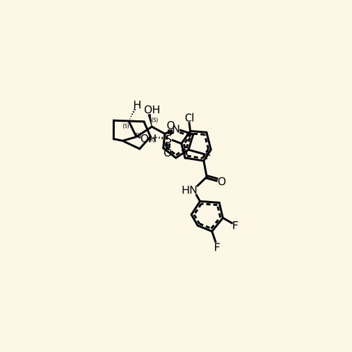 O=C(Nc1ccc(F)c(F)c1)c1ccc(Cl)c(S(=O)(=O)[C@@H]2CC3CC[C@@H](C2)[C@@]3(O)[C@@H](O)c2ccc(F)cn2)c1